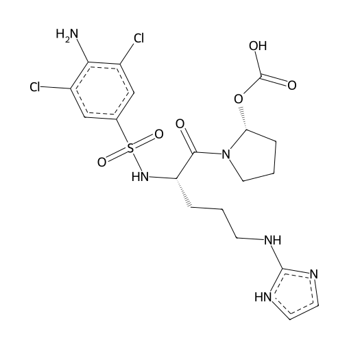 Nc1c(Cl)cc(S(=O)(=O)N[C@@H](CCCNc2ncc[nH]2)C(=O)N2CCC[C@H]2OC(=O)O)cc1Cl